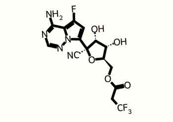 N#C[C@@]1(c2cc(F)c3c(N)ncnn23)O[C@H](COC(=O)CC(F)(F)F)[C@@H](O)[C@H]1O